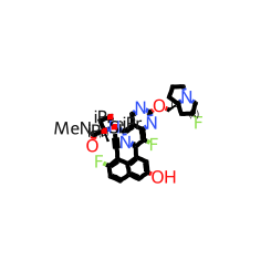 CNC(=O)[C@]1(C)CCN1c1nc(-c2cc(O)cc3ccc(F)c(C#C[Si](C(C)C)(C(C)C)C(C)C)c23)c(F)c2nc(OC[C@@]34CCCN3C[C@H](F)C4)ncc12